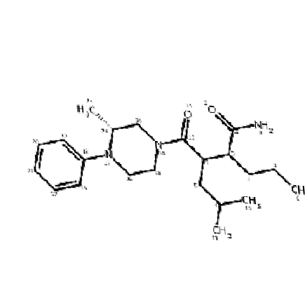 CCCC(C(N)=O)C(CC(C)C)C(=O)N1CCN(c2ccccc2)[C@H](C)C1